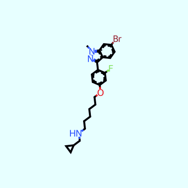 Cn1nc(-c2ccc(OCCCCCCNCC3CC3)cc2F)c2ccc(Br)cc21